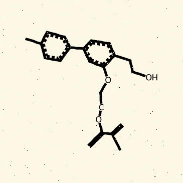 C=C(C)C(=C)OCCOc1cc(-c2ccc(C)cc2)ccc1CCO